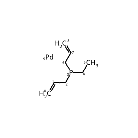 C=CCP(CC)CC=C.[Pd]